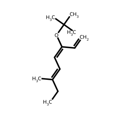 C=C/C(=C\C=C(/C)CC)OC(C)(C)C